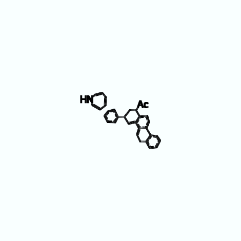 C1=CC=CNC=C1.CC(=O)C1CC(c2ccccc2)C=c2c1ccc1c2=CCc2ccccc2-1